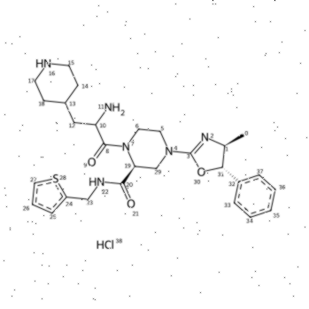 C[C@@H]1N=C(N2CCN(C(=O)C(N)CC3CCNCC3)[C@H](C(=O)NCc3cccs3)C2)O[C@H]1c1ccccc1.Cl